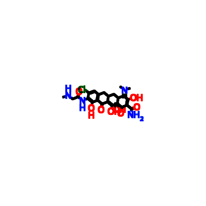 CNCC(=O)Nc1c(Cl)cc2c(c1O)C(=O)C1=C(O)[C@]3(O)C(=O)C(C(N)=O)=C(O)[C@@H](N(C)C)C3CC1C2